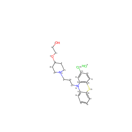 Cl.OCCOC1CCN(CCCN2c3ccccc3Sc3ccc(Cl)cc32)CC1